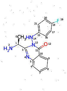 C[C@H](N)c1nc2ccccc2c(=O)n1Nc1ccc(F)cc1